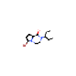 CCC(CC)N1CCn2c(Br)ccc2C1=O